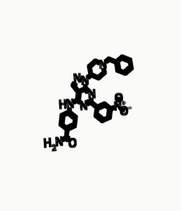 NC(=O)c1ccc(Nc2nc(-c3cccc([N+](=O)[O-])c3)nc3c2cnn3C2CCN(Cc3ccccc3)CC2)cc1